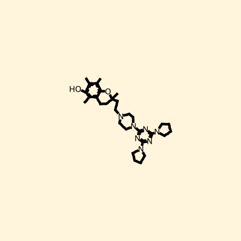 Cc1c(C)c2c(c(C)c1O)CCC(C)(CCN1CCN(c3nc(N4CCCC4)nc(N4CCCC4)n3)CC1)O2